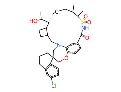 CC1CCC[C@@H]([C@@H](C)O)C2CCC2CN2CC3(CCCc4cc(Cl)ccc43)COc3ccc(cc32)C(=O)NS(=O)(=O)C1C